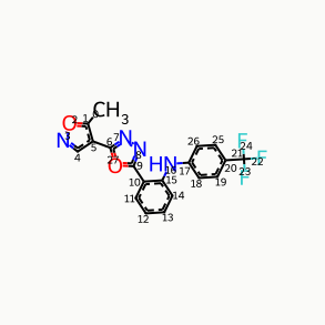 Cc1oncc1-c1nnc(-c2ccccc2Nc2ccc(C(F)(F)F)cc2)o1